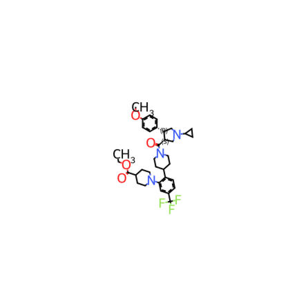 CCOC(=O)C1CCN(c2cc(C(F)(F)F)ccc2C2CCN(C(=O)[C@@H]3CN(C4CC4)C[C@H]3c3ccc(OC)cc3)CC2)CC1